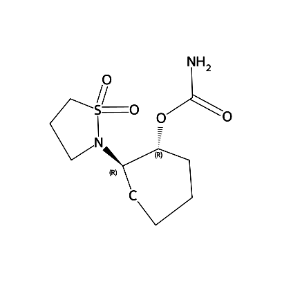 NC(=O)O[C@@H]1CCCC[C@H]1N1CCCS1(=O)=O